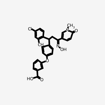 Cc1cc(Cl)ccc1C(CC(=NO)c1ccc(=O)n(C)c1)c1ccc(Oc2cccc(C(=O)O)c2)cc1